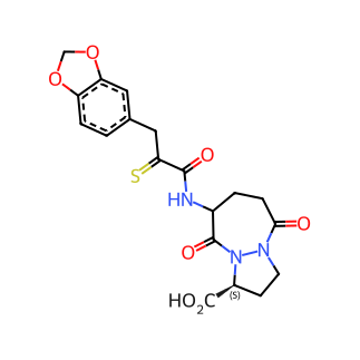 O=C(NC1CCC(=O)N2CC[C@@H](C(=O)O)N2C1=O)C(=S)Cc1ccc2c(c1)OCO2